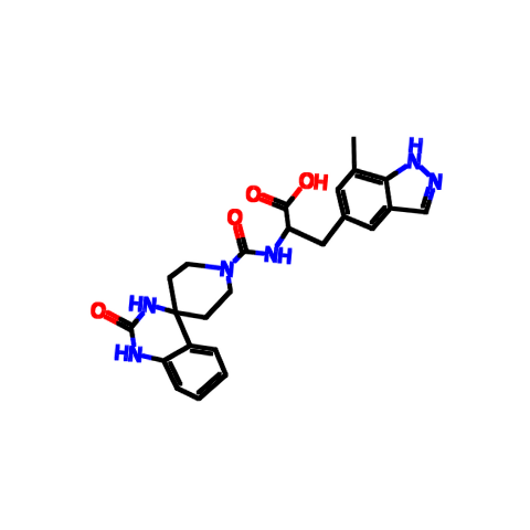 Cc1cc(CC(NC(=O)N2CCC3(CC2)NC(=O)Nc2ccccc23)C(=O)O)cc2cn[nH]c12